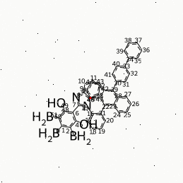 Bc1c(B)c(O)c(-c2nc3ccccc3n2-c2ccccc2-c2c3ccccc3c(-c3ccc(-c4ccccc4)cc3)c3ccccc23)c(O)c1B